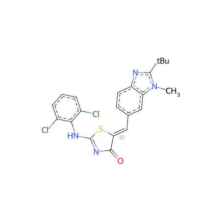 Cn1c(C(C)(C)C)nc2ccc(/C=C3\SC(Nc4c(Cl)cccc4Cl)=NC3=O)cc21